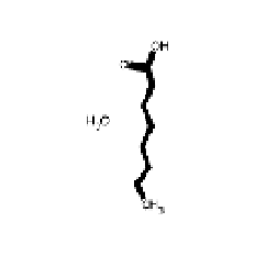 CCCCCCCC(=O)O.O